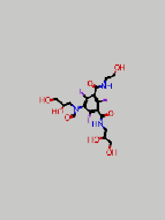 O=CN(CC(O)CO)c1c(I)c(C(=O)NCCO)c(I)c(C(=O)NCC(O)CO)c1I